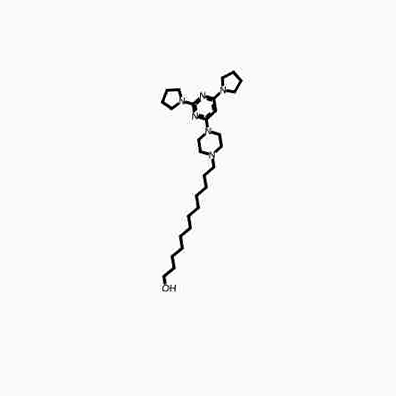 OCCCCCCCCCCCCN1CCN(c2cc(N3CCCC3)nc(N3CCCC3)n2)CC1